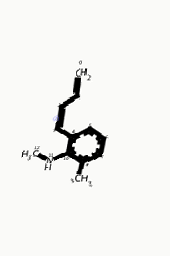 C=C/C=C\c1cccc(C)c1NC